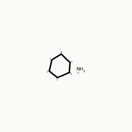 N.[CH]1CCCCC1